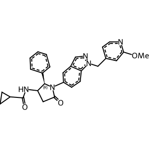 COc1cc(Cn2ncc3cc(N4C(=O)CC(NC(=O)C5CC5)[C@H]4c4ccccc4)ccc32)ccn1